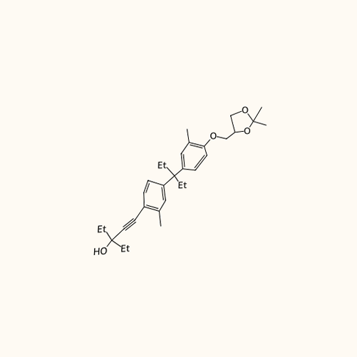 CCC(O)(C#Cc1ccc(C(CC)(CC)c2ccc(OCC3COC(C)(C)O3)c(C)c2)cc1C)CC